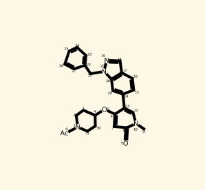 CC(=O)N1CCC(Oc2cc(=O)n(C)cc2-c2ccc3cnn(Cc4ccccc4)c3c2)CC1